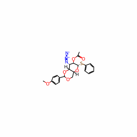 COc1ccc(C2OC[C@H]3O[C@@H](Sc4ccccc4)[C@H](OC(C)=O)[C@@H](N=[N+]=[N-])[C@H]3O2)cc1